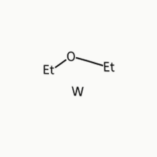 CCOCC.[W]